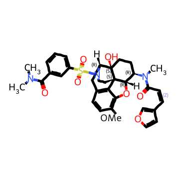 COc1ccc2c3c1O[C@H]1[C@H](N(C)C(=O)/C=C\c4ccoc4)CC[C@@]4(O)[C@@H](C2)N(S(=O)(=O)c2cccc(C(=O)N(C)C)c2)CC[C@]314